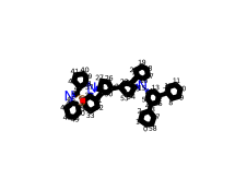 c1ccc(-c2cc(-c3ccccc3)cc(-n3c4ccccc4c4cc(-c5ccc6c(c5)c5ccccc5n6-c5ccccc5-c5nc6ccccc6s5)ccc43)c2)cc1